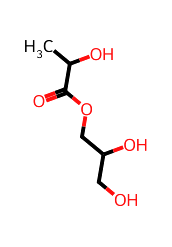 CC(O)C(=O)OCC(O)CO